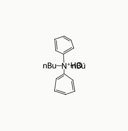 CCCC[N+](CCCC)(c1ccccc1)c1ccccc1.[OH-]